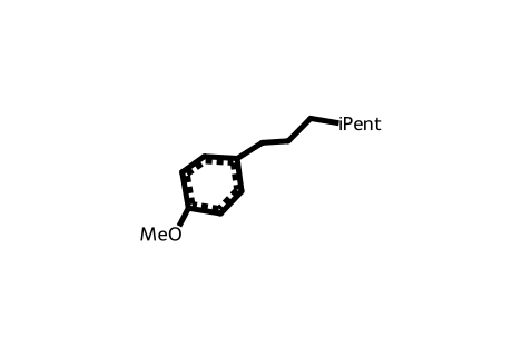 CCCC(C)CCCc1ccc(OC)cc1